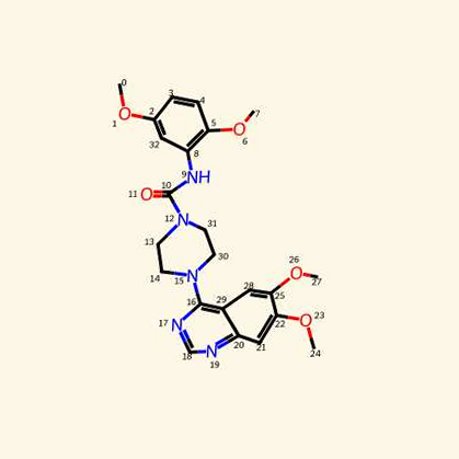 COc1ccc(OC)c(NC(=O)N2CCN(c3ncnc4cc(OC)c(OC)cc34)CC2)c1